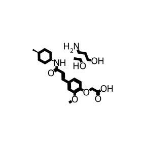 CCO.COc1cc(C=CC(=O)N[C@H]2CC[C@H](C)CC2)ccc1OCC(=O)O.NCCCO